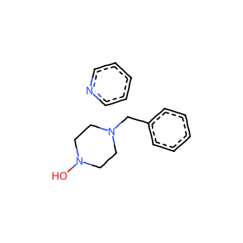 ON1CCN(Cc2ccccc2)CC1.c1ccncc1